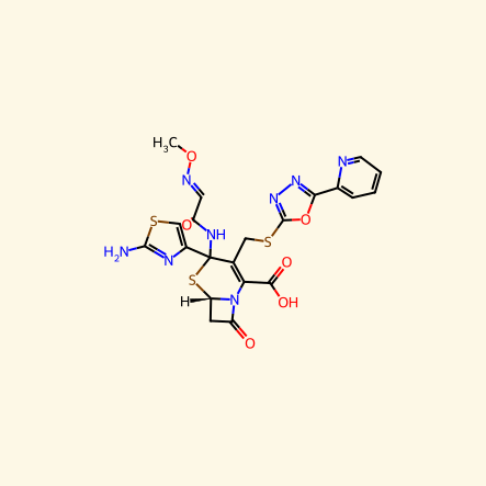 CON=CC(=O)NC1(c2csc(N)n2)S[C@H]2CC(=O)N2C(C(=O)O)=C1CSc1nnc(-c2ccccn2)o1